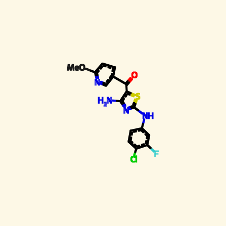 COc1ccc(C(=O)c2sc(Nc3ccc(Cl)c(F)c3)nc2N)cn1